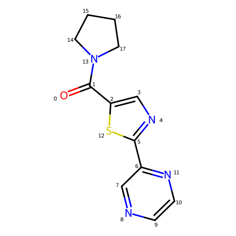 O=C(c1cnc(-c2cnccn2)s1)N1CCCC1